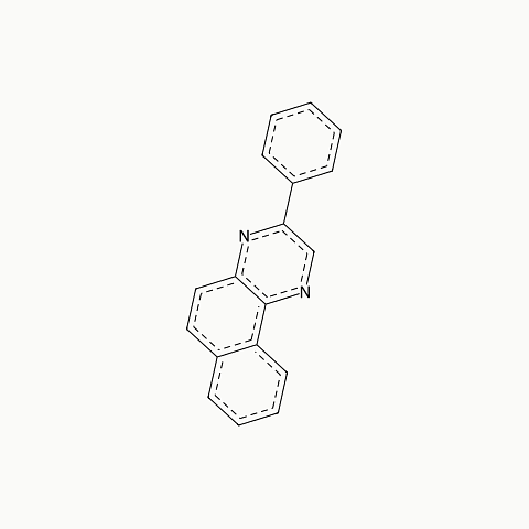 c1ccc(-c2cnc3c(ccc4ccccc43)n2)cc1